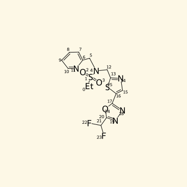 CCS(=O)(=O)N(Cc1ccccn1)Cc1ncc(-c2nnc(C(F)F)o2)s1